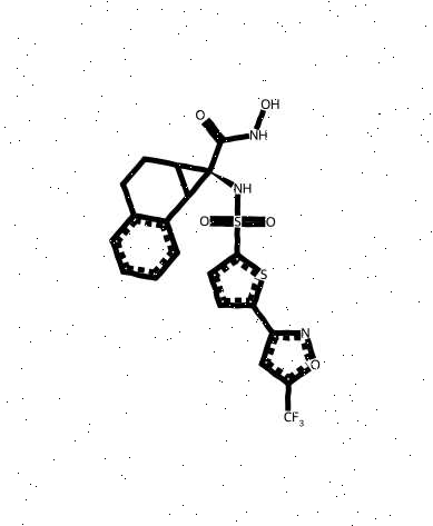 O=C(NO)[C@@]1(NS(=O)(=O)c2ccc(-c3cc(C(F)(F)F)on3)s2)C2CCc3ccccc3C21